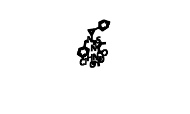 Cc1sc(N(Cc2ccc(Cl)cc2)[C@@H]2C[C@H]2c2ccccc2)nc1C(=O)NS(C)(=O)=O